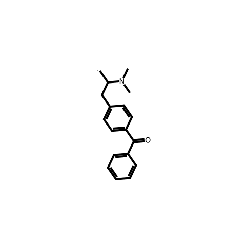 [CH2]C(Cc1ccc(C(=O)c2ccccc2)cc1)N(C)C